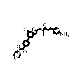 Nc1ccc(/C=C/C(=O)NCc2cc3cc(-c4ccc(C(=O)C(=O)N5CCOCC5)cc4)cc(Cl)c3o2)cn1